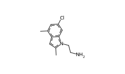 Cc1cc(Cl)cc2c1cc(C)n2CCN